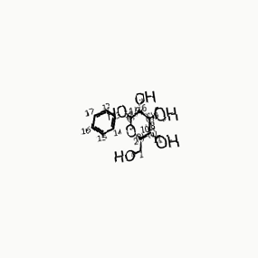 OC[C@H]1O[C@@H](O)[C@H](O)[C@@H](O)[C@@H]1O.c1ccccc1